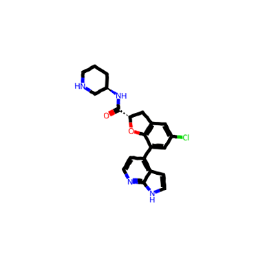 O=C(N[C@@H]1CCCNC1)[C@@H]1Cc2cc(Cl)cc(-c3ccnc4[nH]ccc34)c2O1